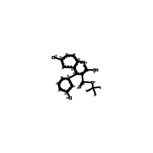 CC(C)(C)OC(=O)c1c(O)nc2ccc(Cl)cc2c1-c1cccc(Cl)c1